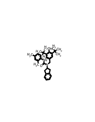 Cc1ccc(NC(=O)N(Cc2cc(C(C)(C)C)c(O)c(C(C)(C)C)c2)C2Cc3ccccc3C2)c(C)c1